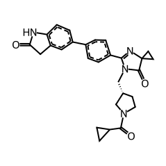 O=C1Cc2cc(-c3ccc(C4=NC5(CC5)C(=O)N4C[C@@H]4CCN(C(=O)C5CC5)C4)cc3)ccc2N1